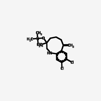 C=C1CCCC(O[Si](C)(C)C)(C(F)(F)F)CNc2cc(Cl)c(Cl)cc21